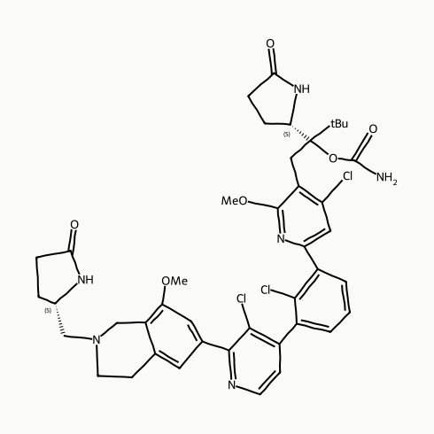 COc1cc(-c2nccc(-c3cccc(-c4cc(Cl)c(CC(OC(N)=O)([C@@H]5CCC(=O)N5)C(C)(C)C)c(OC)n4)c3Cl)c2Cl)cc2c1CN(C[C@@H]1CCC(=O)N1)CC2